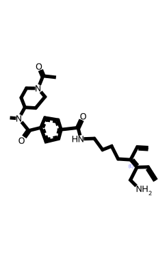 C=C/C(CN)=C(\C=C)CCCCNC(=O)c1ccc(C(=O)N(C)C2CCN(C(C)=O)CC2)cc1